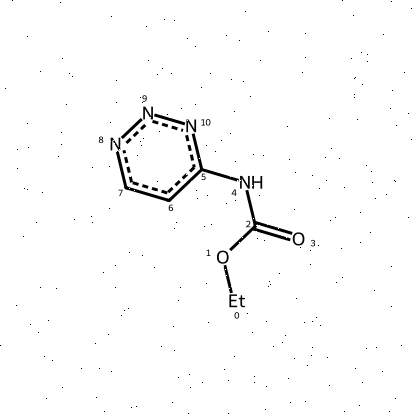 CCOC(=O)Nc1ccnnn1